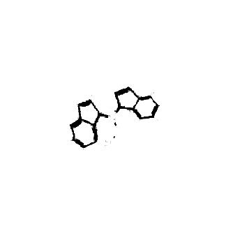 CCO[SiH](C1C=Cc2ccccc21)C1C=Cc2ccccc21